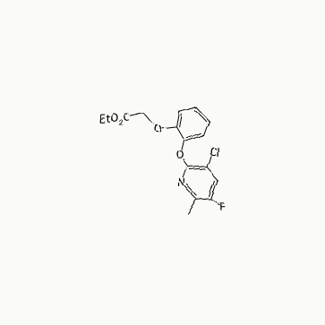 CCOC(=O)COc1ccccc1Oc1nc(C)c(F)cc1Cl